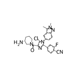 Cc1c2cc(-n3c(-c4ccc(C#N)c(F)c4)nc(C(=O)N4CCC[C@@H](N)C4)c3Cl)ccc2nn1C